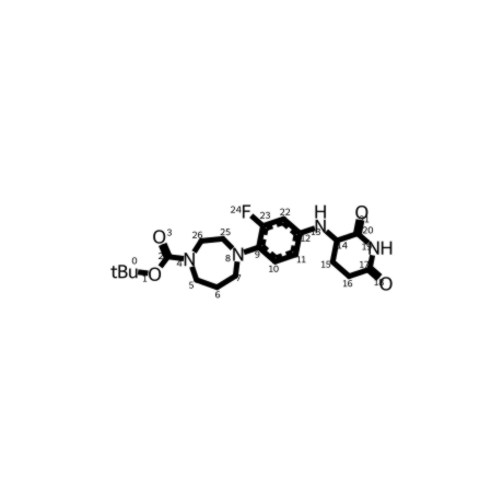 CC(C)(C)OC(=O)N1CCCN(c2ccc(NC3CCC(=O)NC3=O)cc2F)CC1